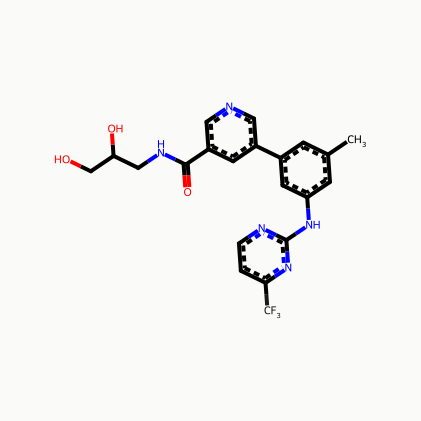 Cc1cc(Nc2nccc(C(F)(F)F)n2)cc(-c2cncc(C(=O)NCC(O)CO)c2)c1